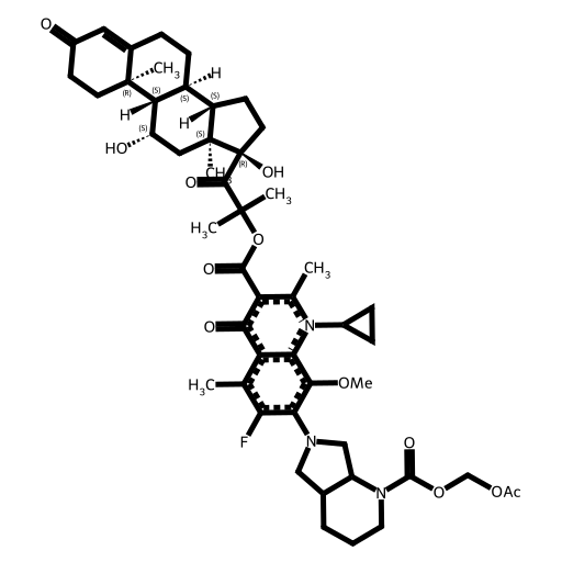 COc1c(N2CC3CCCN(C(=O)OCOC(C)=O)C3C2)c(F)c(C)c2c(=O)c(C(=O)OC(C)(C)C(=O)[C@@]3(O)CC[C@H]4[C@@H]5CCC6=CC(=O)CC[C@]6(C)[C@H]5[C@@H](O)C[C@@]43C)c(C)n(C3CC3)c12